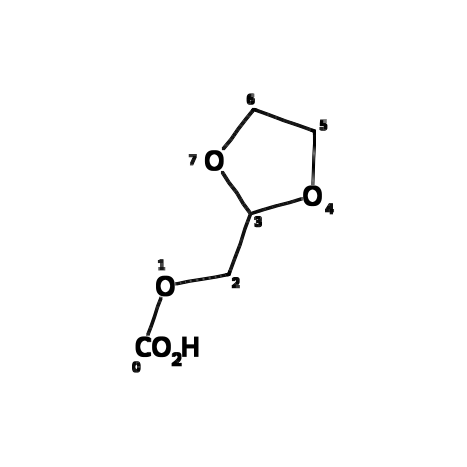 O=C(O)OCC1OCCO1